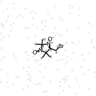 CC1(C)C(CBr)=[N+]([O-])C(C)(C)N1[O]